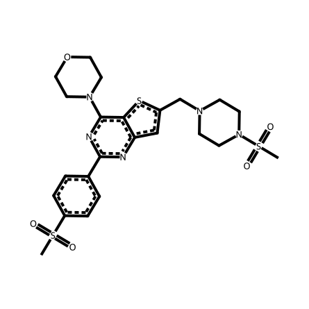 CS(=O)(=O)c1ccc(-c2nc(N3CCOCC3)c3sc(CN4CCN(S(C)(=O)=O)CC4)cc3n2)cc1